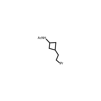 CC(=O)NC1CC(CCC(C)C)C1